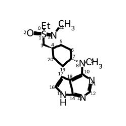 CCS(=O)(C[C@H]1CC[C@H](N(C)c2ncnc3[nH]ccc23)CC1)=NC